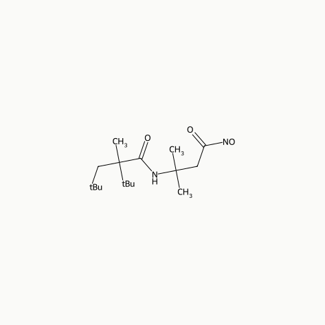 CC(C)(C)CC(C)(C(=O)NC(C)(C)CC(=O)N=O)C(C)(C)C